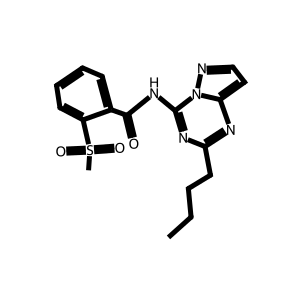 CCCCc1nc(NC(=O)c2ccccc2S(C)(=O)=O)n2nccc2n1